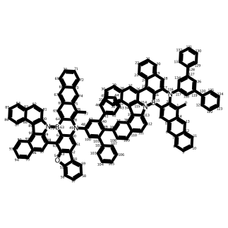 Cc1c2c(cc3cc4ccccc4cc13)B1c3c(cc4ccccc4c3-c3cc4ccccc4c4c5c6cc(-c7c(-c8ccccc8)cc(N8c9cc%10c(oc%11ccccc%11%10)c%10c9B(c9cc%11cc%12ccccc%12cc%11c(C)c98)n8c9ccc%11ccccc%11c9c9c%11ccccc%11cc-%10c98)cc7-c7ccccc7)ccc6ccc5n1c34)N2c1cc(-c2ccccc2)cc(-c2ccccc2)c1